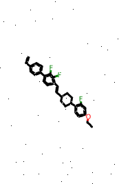 C=Cc1ccc(-c2ccc(/C=C/C3CCC(c4ccc(OCC)cc4F)CC3)c(F)c2F)cc1